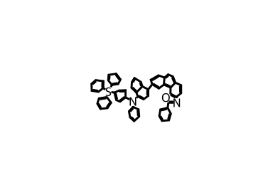 c1ccc(-c2nc3ccc4ccc5ccc(-c6ccc(N(c7ccccc7)c7ccc(S(c8ccccc8)(c8ccccc8)c8ccccc8)cc7)c7ccccc67)cc5c4c3o2)cc1